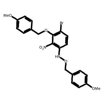 COc1ccc(CONc2ccc(Br)c(OCc3ccc(OC)cc3)c2[N+](=O)[O-])cc1